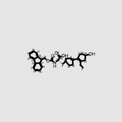 CCC1=C(C2=CCC(C[C@H](NC(=O)OCC3c4ccccc4-c4ccccc43)C(=O)O)CC2)CCC(O)C1